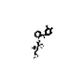 COCCNC(=O)CSC1CCCCC1Sc1ccc(C)c(C)c1